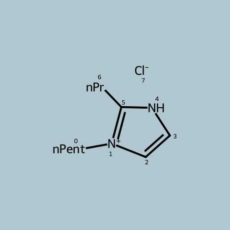 CCCCC[n+]1cc[nH]c1CCC.[Cl-]